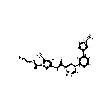 CCOC(=O)n1cc(NC(=O)[C@@H](O)CN(C=O)c2cccc(-c3cnn(C)c3)c2)nc1C